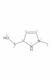 CN1C=CC(SO)N1